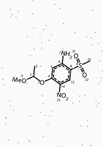 COC(C)Oc1cc(N)c(S(C)(=O)=O)cc1[N+](=O)[O-]